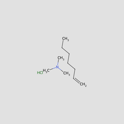 C=CCCCCC.CN(C)C.Cl